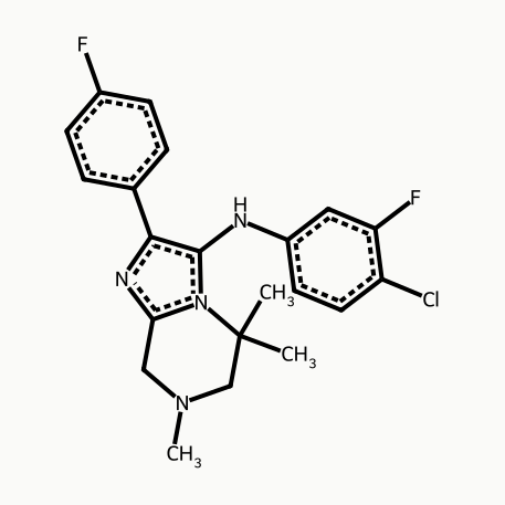 CN1Cc2nc(-c3ccc(F)cc3)c(Nc3ccc(Cl)c(F)c3)n2C(C)(C)C1